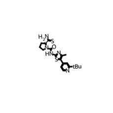 Cc1nc(NC(=O)N2CCC[C@H]2C(N)=S)sc1-c1ccnc(C(C)(C)C)c1